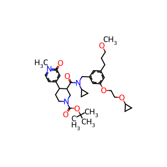 COCCCc1cc(CN(C(=O)C2CN(C(=O)OC(C)(C)C)CCC2c2ccn(C)c(=O)c2)C2CC2)cc(OCCOC2CC2)c1